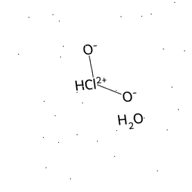 O.[O-][ClH+2][O-]